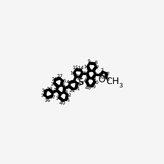 Cc1ccc(-c2c3ccccc3c(-c3cccc4c3sc3ccc(-c5c6ccccc6c(-c6ccccc6)c6ccccc56)cc34)c3ccccc23)o1